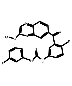 COc1cnc2ccc(C(=O)c3cc(NC(=O)Nc4cccc(F)c4)ccc3F)cc2n1